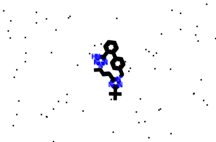 CCC=Cc1nc(C(C)(C)C)nn1Cc1ccc(-c2ccccc2-c2nnn[nH]2)cc1